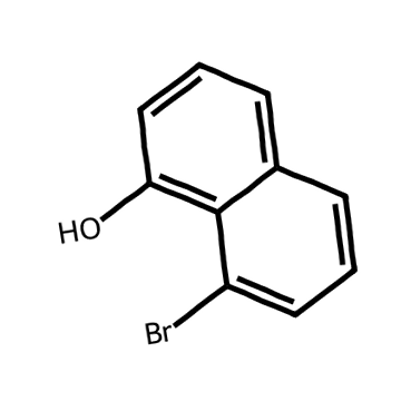 Oc1cccc2cccc(Br)c12